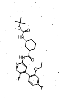 CCOc1cc(F)ccc1-c1cc(NC(=O)[C@H]2CCC[C@@H](NC(=O)OC(C)(C)C)C2)ncc1F